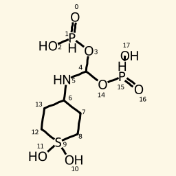 O=[PH](O)OC(NC1CCS(O)(O)CC1)O[PH](=O)O